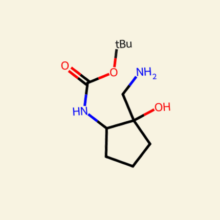 CC(C)(C)OC(=O)NC1CCCC1(O)CN